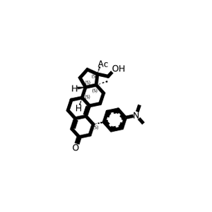 CC(=O)[C@@]1(CO)CC[C@H]2[C@@H]3CCC4=CC(=O)C[C@@H](c5ccc(N(C)C)cc5)C4=C3CC[C@@]21C